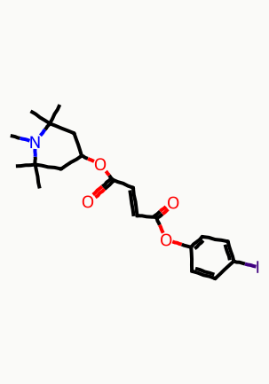 CN1C(C)(C)CC(OC(=O)/C=C/C(=O)Oc2ccc(I)cc2)CC1(C)C